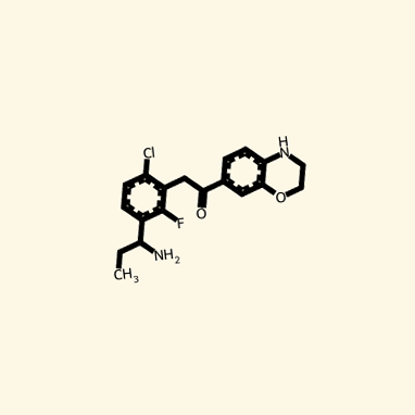 CCC(N)c1ccc(Cl)c(CC(=O)c2ccc3c(c2)OCCN3)c1F